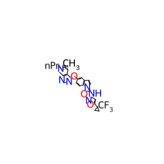 CCCN1Cc2ncnc(Oc3ccc4c(ccn4C(=O)Nc4cc(C5(C(F)(F)F)CC5)on4)c3)c2C[C@@H]1C